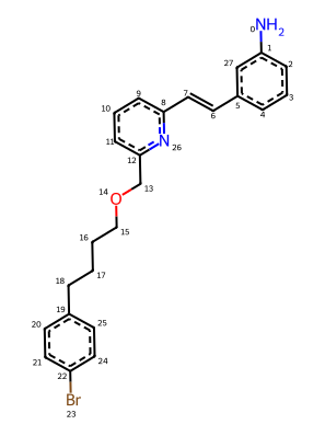 Nc1cccc(C=Cc2cccc(COCCCCc3ccc(Br)cc3)n2)c1